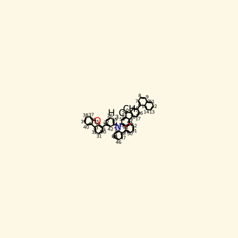 CC1(C)c2cc(-c3cccc4ccccc34)ccc2-c2ccc(N(c3cccc(-c4cccc5c4oc4ccccc45)c3)c3ccccc3-c3ccccc3)cc21